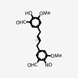 COc1cc(C/C=C/Cc2cc(C=O)c(N=O)c(OC)c2)cc(C=O)c1O